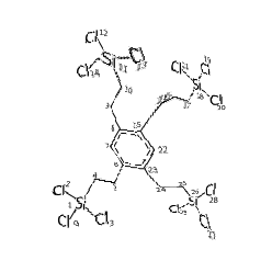 Cl[Si](Cl)(Cl)CCc1cc(CC[Si](Cl)(Cl)Cl)c(CC[Si](Cl)(Cl)Cl)cc1CC[Si](Cl)(Cl)Cl